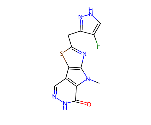 Cn1c2nc(Cc3n[nH]cc3F)sc2c2cn[nH]c(=O)c21